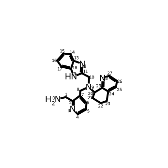 NCc1ncccc1CN(Cc1nc2ccccc2[nH]1)C1CCCc2cccnc21